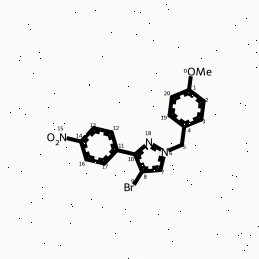 COc1ccc(Cn2cc(Br)c(-c3ccc([N+](=O)[O-])cc3)n2)cc1